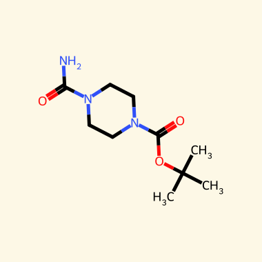 CC(C)(C)OC(=O)N1CCN(C(N)=O)CC1